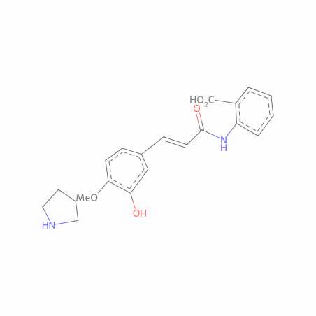 C1CCNC1.COc1ccc(/C=C/C(=O)Nc2ccccc2C(=O)O)cc1O